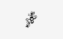 [2H]C([2H])(C)Oc1cc(Cl)c2c(ccn2C(=O)OC(C)(C)C)c1C=O